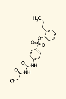 CCCc1ccccc1OS(=O)(=O)c1ccc(NC(=O)NC(=O)CCl)cc1